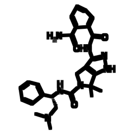 CN(C)C[C@@H](NC(=O)N1Cc2c(NC(=O)c3ccccc3C(N)=O)n[nH]c2C1(C)C)c1ccccc1